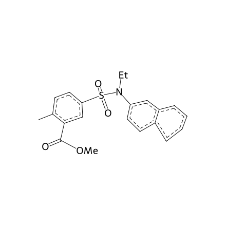 CCN(c1ccc2ccccc2c1)S(=O)(=O)c1ccc(C)c(C(=O)OC)c1